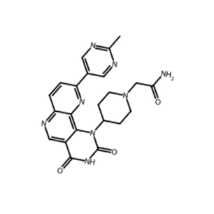 Cc1ncc(-c2ccc3ncc4c(=O)[nH]c(=O)n(C5CCN(CC(N)=O)CC5)c4c3n2)cn1